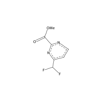 COC(=O)c1nccc(C(F)F)n1